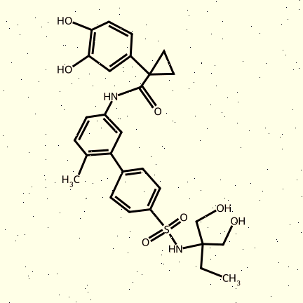 CCC(CO)(CO)NS(=O)(=O)c1ccc(-c2cc(NC(=O)C3(c4ccc(O)c(O)c4)CC3)ccc2C)cc1